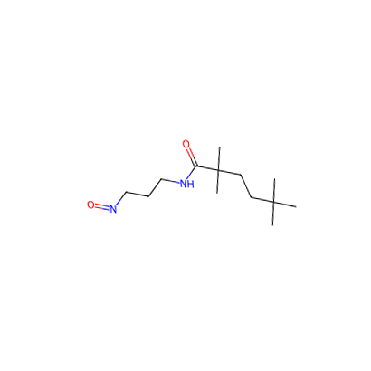 CC(C)(C)CCC(C)(C)C(=O)NCCCN=O